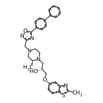 Cc1nc2cc(OC[C@H](O)CN3CCN(Cc4noc(-c5ccc(-c6ccccc6)cc5)n4)C[C@@H]3C)ccc2s1